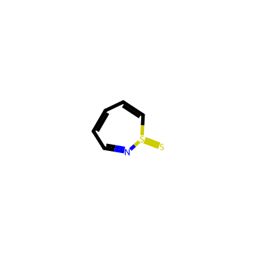 S=S1C=CC=CC=N1